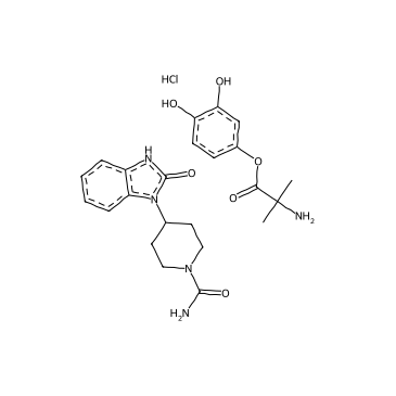 CC(C)(N)C(=O)Oc1ccc(O)c(O)c1.Cl.NC(=O)N1CCC(n2c(=O)[nH]c3ccccc32)CC1